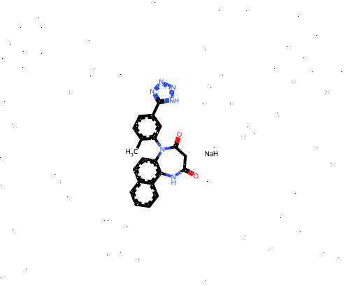 Cc1ccc(-c2nnn[nH]2)cc1N1C(=O)CC(=O)Nc2c1ccc1ccccc21.[NaH]